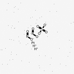 O=N[O-].O=N[O-].O=S(=O)([O-])[O-].[H+].[H+].[Pt]